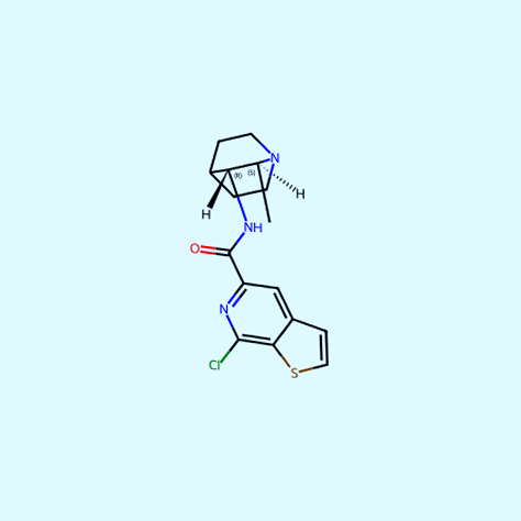 C[C@H]1[C@H](NC(=O)c2cc3ccsc3c(Cl)n2)C2CCN1CC2